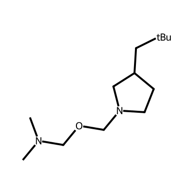 CN(C)COCN1CCC(CC(C)(C)C)C1